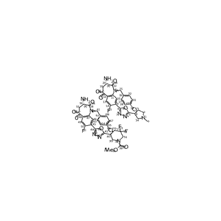 CN1CCC(c2nnc(-c3cc4c(cc3F)S(=O)(=O)C[C@H](N)C(=O)N4Cc3ccc(Cl)cc3)o2)C1.COC(=O)N1CC(c2nnc(-c3cc4c(cc3F)S(=O)(=O)C[C@H](N)C(=O)N4Cc3ccc(Cl)cc3)o2)CC(F)(F)C1